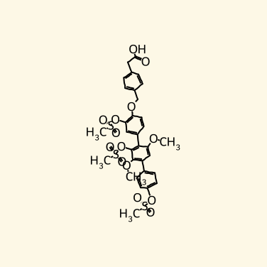 COc1cc(-c2ccc(OS(C)(=O)=O)cc2)c(OC)c(OS(C)(=O)=O)c1-c1ccc(OCc2ccc(CC(=O)O)cc2)c(OS(C)(=O)=O)c1